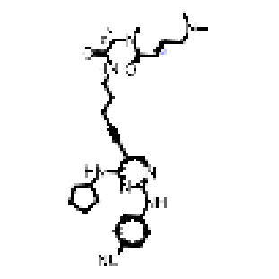 C[C@@H](C(=O)NCCCC#Cc1cnc(Nc2ccc(C#N)cc2)nc1NC1CCCC1)N(C)C(=O)/C=C/CN(C)C